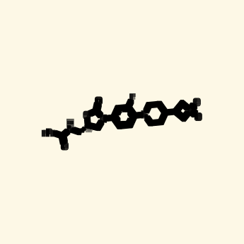 CCCC(=O)NC[C@H]1CN(c2ccc(N3CCC(C4CS(=O)(=O)C4)CC3)c(F)c2)C(=O)O1